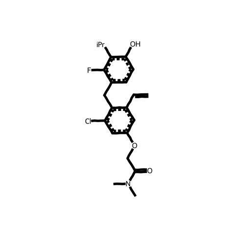 C=Cc1cc(OCC(=O)N(C)C)cc(Cl)c1Cc1ccc(O)c(C(C)C)c1F